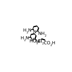 Nc1cccc(N)n1.Nc1cccc(N)n1.O=C(O)/C=C\C(=O)O